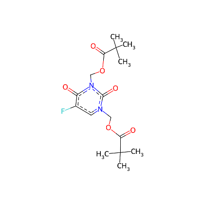 CC(C)(C)C(=O)OCn1cc(F)c(=O)n(COC(=O)C(C)(C)C)c1=O